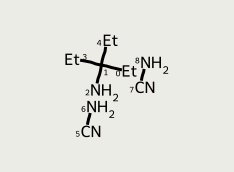 CCC(N)(CC)CC.N#CN.N#CN